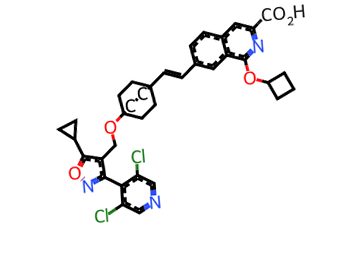 O=C(O)c1cc2ccc(C=CC34CCC(OCc5c(-c6c(Cl)cncc6Cl)noc5C5CC5)(CC3)CC4)cc2c(OC2CCC2)n1